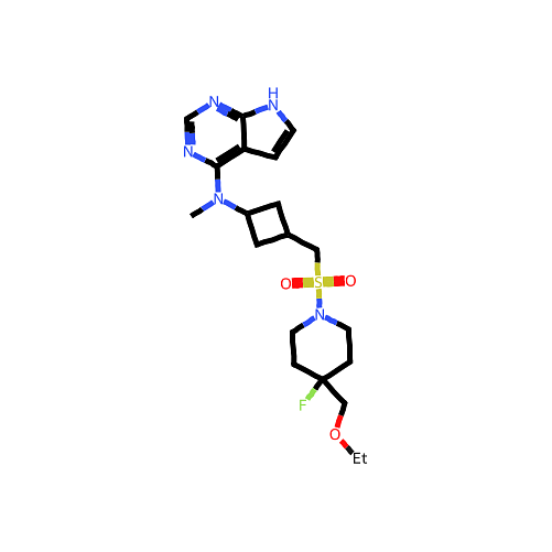 CCOCC1(F)CCN(S(=O)(=O)CC2CC(N(C)c3ncnc4[nH]ccc34)C2)CC1